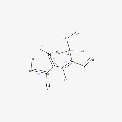 C=C/C(=C(C)/C(=N/C)C(/Cl)=C\C)C(C)(C)CC